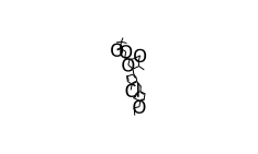 CCOc1ccc(Cc2cc(C3OC(COC(=O)C(C)(C)C)C4OC4C3C)ccc2Cl)cc1